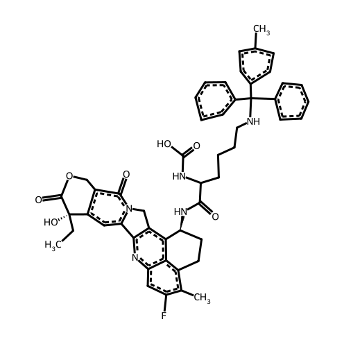 CC[C@@]1(O)C(=O)OCc2c1cc1n(c2=O)Cc2c-1nc1cc(F)c(C)c3c1c2[C@@H](NC(=O)C(CCCCNC(c1ccccc1)(c1ccccc1)c1ccc(C)cc1)NC(=O)O)CC3